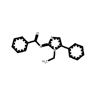 CCn1c(-c2ccccc2)cs/c1=N\C(=O)c1ccccc1